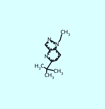 CCn1ncc2nc(C(C)(C)C)ccc21